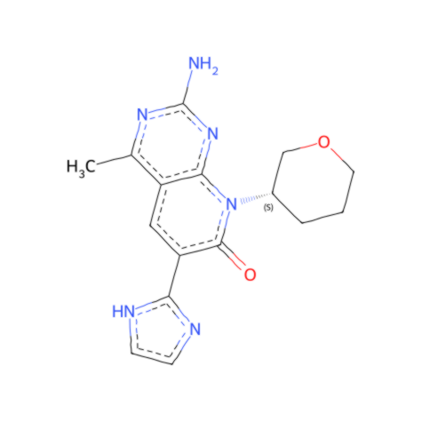 Cc1nc(N)nc2c1cc(-c1ncc[nH]1)c(=O)n2[C@H]1CCCOC1